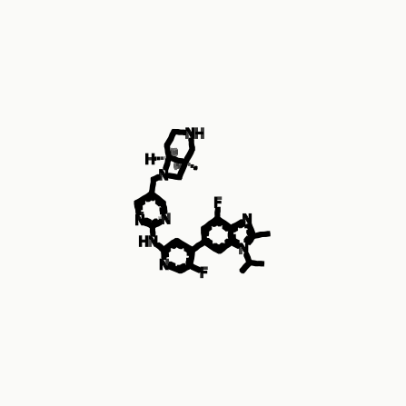 Cc1nc2c(F)cc(-c3cc(Nc4ncc(CN5C[C@]6(C)CNCC[C@H]56)cn4)ncc3F)cc2n1C(C)C